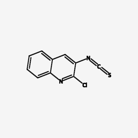 S=C=Nc1cc2ccccc2nc1Cl